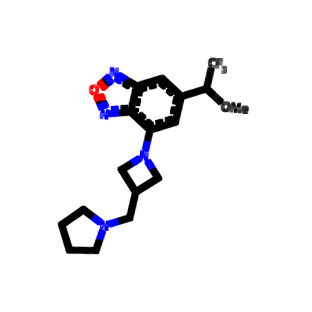 COC(c1cc(N2CC(CN3CCCC3)C2)c2nonc2c1)C(F)(F)F